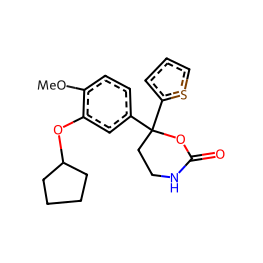 COc1ccc(C2(c3cccs3)CCNC(=O)O2)cc1OC1CCCC1